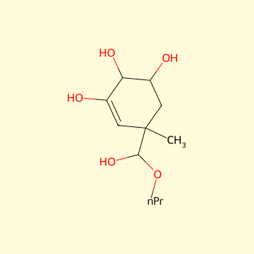 CCCOC(O)C1(C)C=C(O)C(O)C(O)C1